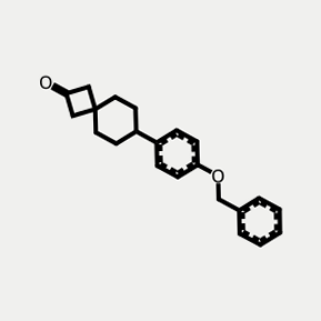 O=C1CC2(CCC(c3ccc(OCc4ccccc4)cc3)CC2)C1